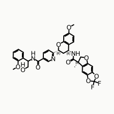 COc1ccc2c(c1)O[C@@H](c1ccc(C(=O)NC(CO)c3ccccc3OC)cn1)C[C@H]2NC(=O)[C@@]1(C)COc2cc3c(cc21)OC(F)(F)O3